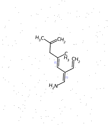 C=CC(=C/N)/C=C(\C)CC(=C)C